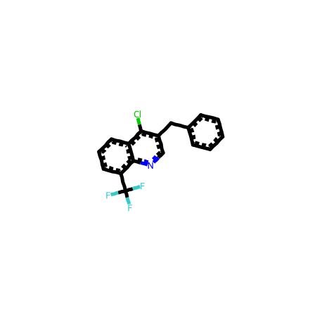 FC(F)(F)c1cccc2c(Cl)c(Cc3ccccc3)cnc12